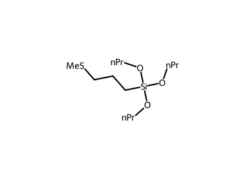 CCCO[Si](CCCSC)(OCCC)OCCC